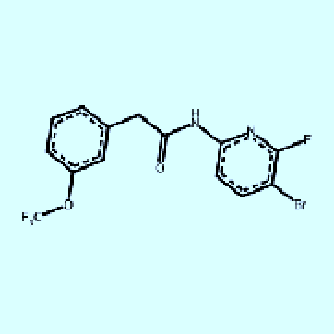 O=C(Cc1cccc(OC(F)(F)F)c1)Nc1ccc(Br)c(F)n1